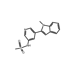 Cn1c(-c2cncc(NS(C)(=O)=O)c2)cc2ccccc21